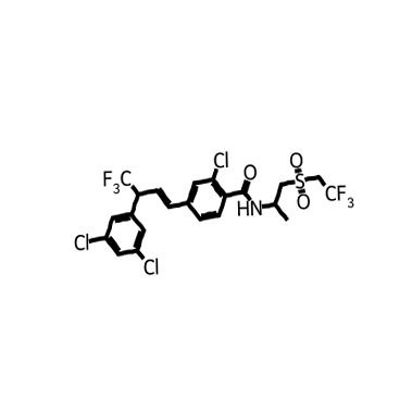 CC(CS(=O)(=O)CC(F)(F)F)NC(=O)c1ccc(/C=C/C(c2cc(Cl)cc(Cl)c2)C(F)(F)F)cc1Cl